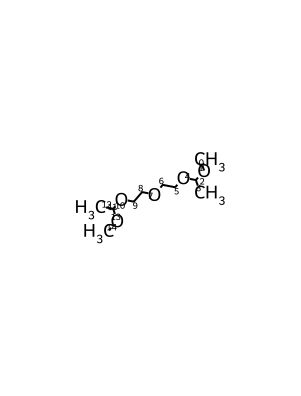 COC(C)OCCOCCOC(C)OC